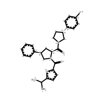 CC(N)c1ccc(C(=O)N2C[C@@H](c3ccccc3)C[C@H]2C(=O)N2CC[C@H](c3ccc(F)cc3)C2)o1